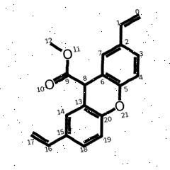 C=Cc1ccc2c(c1)C(C(=O)OC)c1cc(C=C)ccc1O2